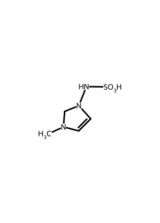 CN1C=CN(NS(=O)(=O)O)C1